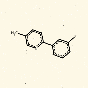 Cc1ccc(-c2[c]ccc(F)c2)nc1